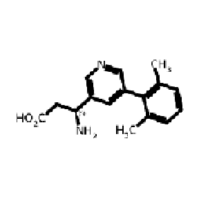 Cc1cccc(C)c1-c1cncc([C@@H](N)CC(=O)O)c1